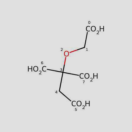 O=C(O)COC(CC(=O)O)(C(=O)O)C(=O)O